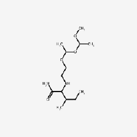 CCC(C)C(NCCOC(C)OC(C)OC)C(N)=O